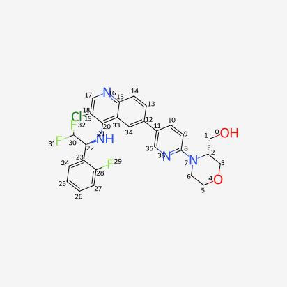 OC[C@@H]1COCCN1c1ccc(-c2ccc3ncc(Cl)c(N[C@@H](c4ccccc4F)C(F)F)c3c2)cn1